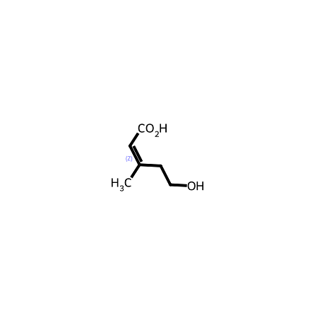 C/C(=C/C(=O)O)CCO